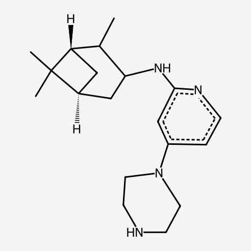 CC1C(Nc2cc(N3CCNCC3)ccn2)C[C@@H]2C[C@@H]1C2(C)C